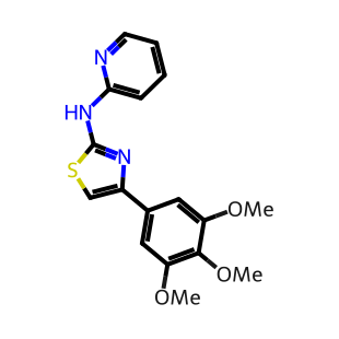 COc1cc(-c2csc(Nc3ccccn3)n2)cc(OC)c1OC